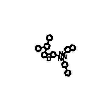 c1ccc(-c2ccc(-c3nc(-c4ccc5ccccc5c4)nc(-c4ccc5c(c4)oc4cccc(-c6ccc(-c7ccccc7)cc6-c6ccccc6)c45)n3)cc2)cc1